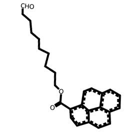 O=CCCCCCCCCCOC(=O)c1ccc2ccc3cccc4ccc1c2c34